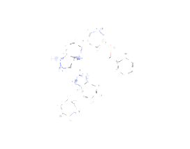 c1ccc(COc2cncc(-c3ccc4[nH]nc(-c5nc6c(-c7ccccn7)cccc6[nH]5)c4n3)c2)cc1